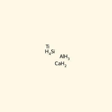 [AlH3].[CaH2].[SiH4].[Ti]